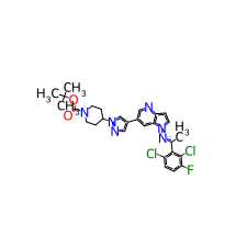 C/C(=N\n1ccc2ncc(-c3cnn(C4CCN(C(=O)OC(C)(C)C)CC4)c3)cc21)c1c(Cl)ccc(F)c1Cl